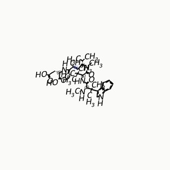 CN[C@H](C(=O)N[C@H](C(=O)N(C)[C@H](/C=C(\C)C(=O)N[C@@H](CC(=O)O)C(=O)O)C(C)C)C(C)(C)C)C(C)(C)c1c[nH]c2ccccc12